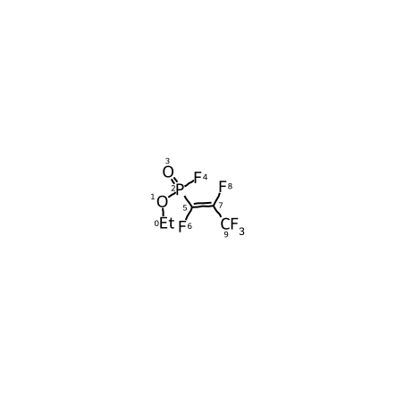 CCOP(=O)(F)C(F)=C(F)C(F)(F)F